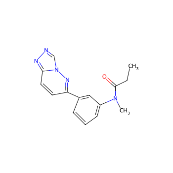 CCC(=O)N(C)c1cccc(-c2ccc3nncn3n2)c1